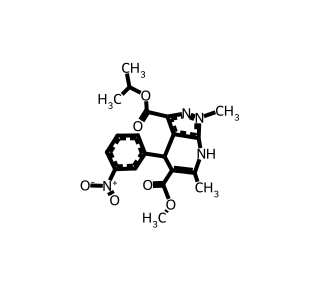 COC(=O)C1=C(C)Nc2c(c(C(=O)OC(C)C)nn2C)C1c1cccc([N+](=O)[O-])c1